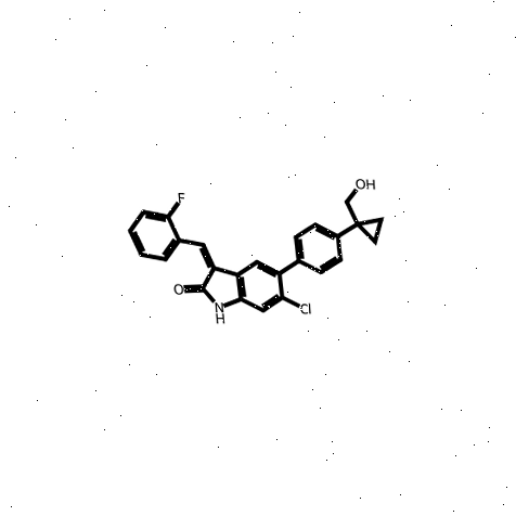 O=C1Nc2cc(Cl)c(-c3ccc(C4(CO)CC4)cc3)cc2/C1=C/c1ccccc1F